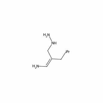 CC(C)C/C(=C/N)CNN